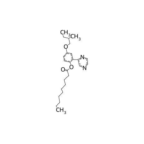 CCCCCCCCCC(=O)Oc1ccc(OCC(C)CC)cc1-c1cnccn1